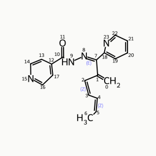 C=C(/C=C\C=C/C)/C(=N\NC(=O)c1ccncc1)c1ccccn1